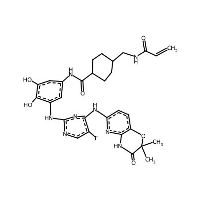 C=CC(=O)NCC1CCC(C(=O)Nc2cc(O)c(O)c(Nc3ncc(F)c(Nc4ccc5c(n4)NC(=O)C(C)(C)O5)n3)c2)CC1